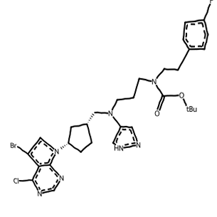 CC(C)(C)OC(=O)N(CCCN(C[C@@H]1CC[C@H](n2cc(Br)c3c(Cl)ncnc32)C1)c1cn[nH]c1)CCc1ccc(F)cc1